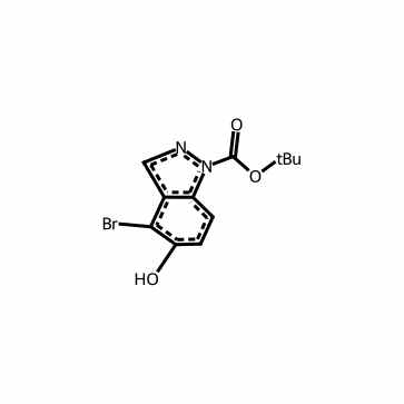 CC(C)(C)OC(=O)n1ncc2c(Br)c(O)ccc21